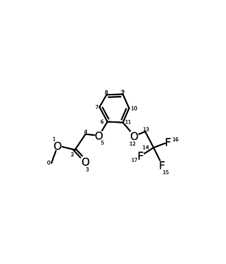 COC(=O)COc1ccccc1OCC(F)(F)F